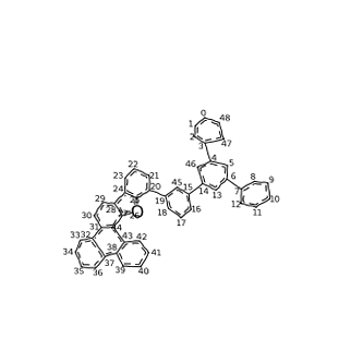 c1ccc(-c2cc(-c3ccccc3)cc(-c3cccc(-c4cccc5c4oc4c5ccc5c6ccccc6c6ccccc6c54)c3)c2)cc1